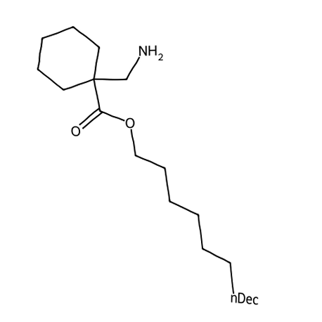 CCCCCCCCCCCCCCCCOC(=O)C1(CN)CCCCC1